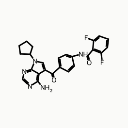 Nc1ncnc2c1c(C(=O)c1ccc(NC(=O)c3c(F)cccc3F)cc1)cn2C1CCCC1